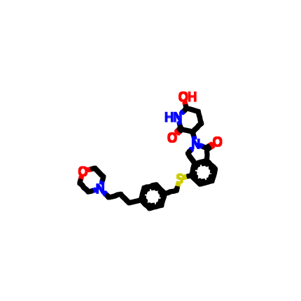 O=C1NC(O)CCC1N1Cc2c(SCc3ccc(CCCN4CCOCC4)cc3)cccc2C1=O